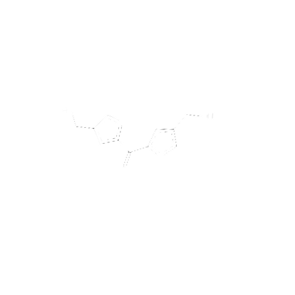 O=C(c1cc(CO)cs1)c1cc(CO)cs1